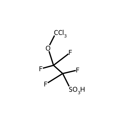 O=S(=O)(O)C(F)(F)C(F)(F)OC(Cl)(Cl)Cl